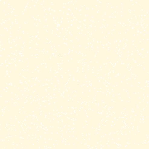 CCCCCc1ccc(-c2ccc(OC(=O)c3ccc(CCCC)cc3F)cc2)nc1